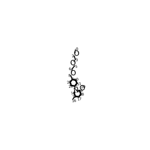 COCCOCCOCc1ccc(-n2cc(C)ccc2=O)cc1